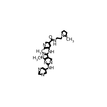 Cc1ncc(C(=O)NCCN2CCC[C@@H]2C)cc1Nc1nn(C)c2nc(Nc3cncnc3)ncc12